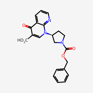 O=C(O)c1cn([C@H]2CCN(C(=O)OCc3ccccc3)C2)c2ncccc2c1=O